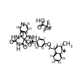 Cc1cc(COc2ccc(C(=O)NC(c3ccncc3)C3(C)C(=O)NC(=O)NC3=O)cc2)c2ccccc2n1.O=C(O)C(F)(F)F